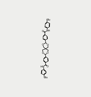 CC(C)(C)c1ccc(NC(=O)c2ccc(C3OCC4(CO3)COC(c3ccc(C(=O)Nc5ccc(C(C)(C)C)cc5)cc3)OC4)cc2)cc1